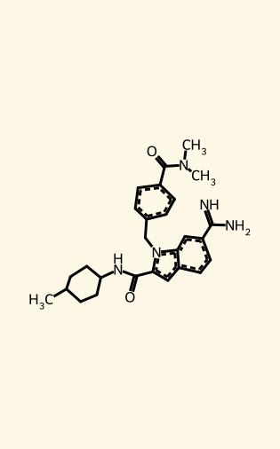 CC1CCC(NC(=O)c2cc3ccc(C(=N)N)cc3n2Cc2ccc(C(=O)N(C)C)cc2)CC1